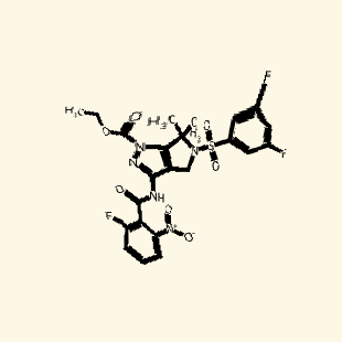 CCOC(=O)n1nc(NC(=O)c2c(F)cccc2[N+](=O)[O-])c2c1C(C)(C)N(S(=O)(=O)c1cc(F)cc(F)c1)C2